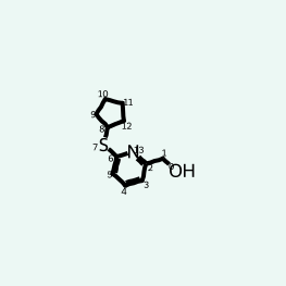 OCc1cccc(SC2CCCC2)n1